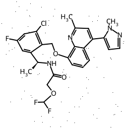 Cc1cc(-c2ccnn2C)c2cccc(OCc3c(Cl)cc(F)cc3[C@H](C)NC(=O)COC(F)F)c2n1